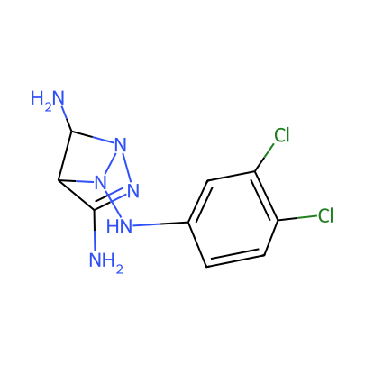 NC1=NN2C(N)C1N2Nc1ccc(Cl)c(Cl)c1